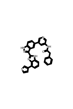 O=C(Cc1ccccc1)Nc1cncc(-c2ccc3[nH]nc(-c4nc5c(-c6ccsc6)cccc5[nH]4)c3c2)c1